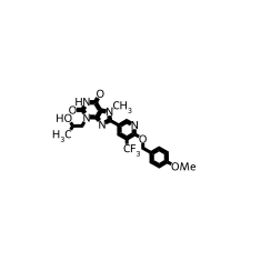 COc1ccc(COc2ncc(-c3nc4c(c(=O)[nH]c(=O)n4CC(C)O)n3C)cc2C(F)(F)F)cc1